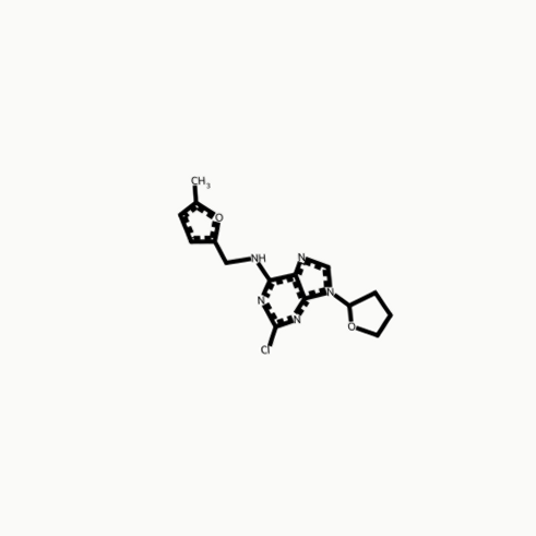 Cc1ccc(CNc2nc(Cl)nc3c2ncn3C2CCCO2)o1